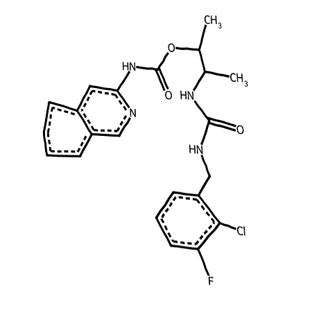 CC(NC(=O)NCc1cccc(F)c1Cl)C(C)OC(=O)Nc1cc2ccccc2cn1